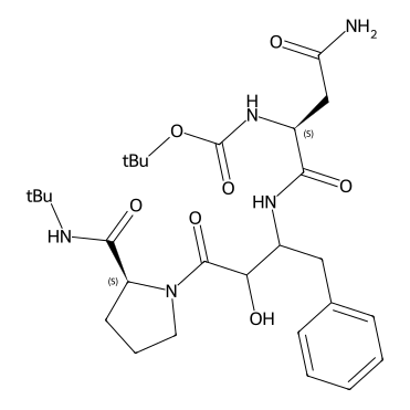 CC(C)(C)NC(=O)[C@@H]1CCCN1C(=O)C(O)C(Cc1ccccc1)NC(=O)[C@H](CC(N)=O)NC(=O)OC(C)(C)C